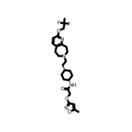 Cc1cc(OCC(=O)N[C@H]2CC[C@H](CCN3CCc4ccc(OCC(C)(F)F)nc4CC3)CC2)no1